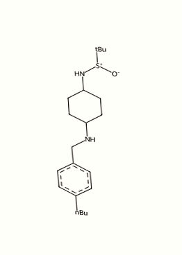 CCCCc1ccc(CNC2CCC(N[S+]([O-])C(C)(C)C)CC2)cc1